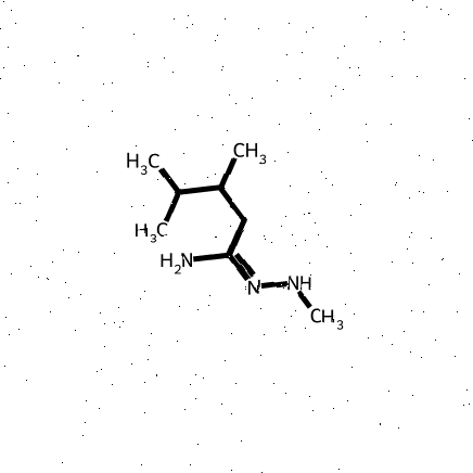 CN/N=C(/N)CC(C)C(C)C